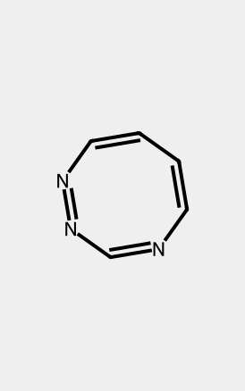 C1=CN=CN=NC=C1